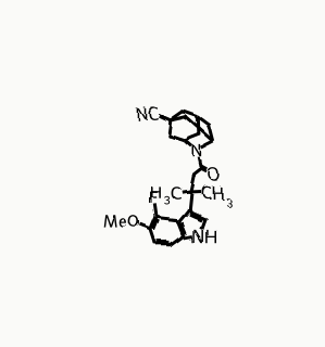 COc1ccc2[nH]cc(C(C)(C)CC(=O)N3C4CC5CC3CC(C#N)(C5)C4)c2c1F